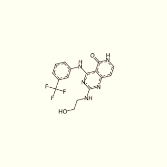 O=c1[nH]ccc2nc(NCCO)nc(Nc3cccc(C(F)(F)F)c3)c12